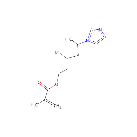 C=C(C)C(=O)OCCC(Br)CC(C)n1ccnc1